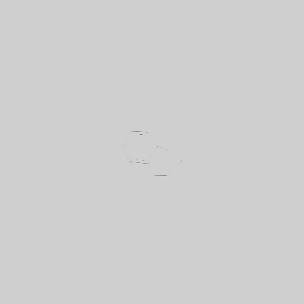 S.c1ccc2c(c1)CCCO2